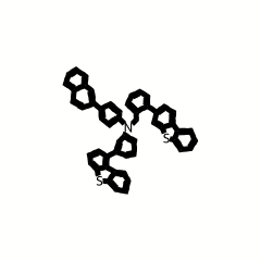 c1cc(-c2cccc3sc4ccccc4c23)cc(N(Cc2ccccc2-c2ccc3c(c2)sc2ccccc23)c2ccc(-c3ccc4ccccc4c3)cc2)c1